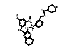 COc1cc(Nc2nc3ccccc3nc2NS(=O)(=O)c2cccc(CNC(=O)C3CCNCC3)c2)cc(OC)c1